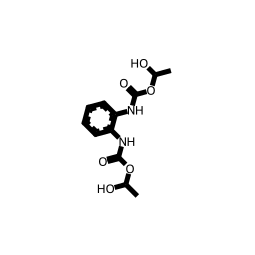 CC(O)OC(=O)Nc1ccccc1NC(=O)OC(C)O